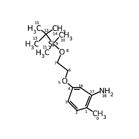 Cc1ccc(OCCO[Si](C)(C)C(C)(C)C)cc1N